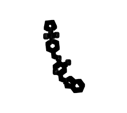 O=c1cc(Cn2cc3ccccc3c2)occ1OCC1CCN(S(=O)(=O)N2CCCC2)CC1